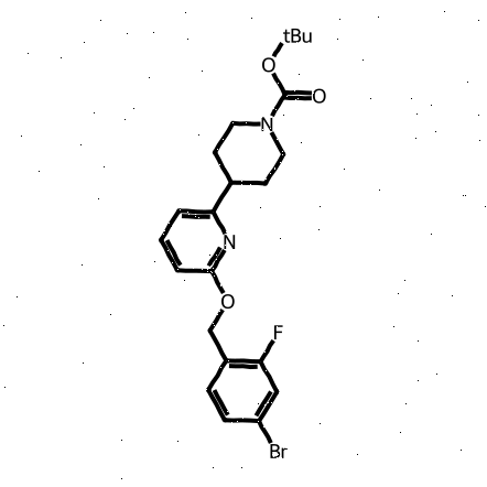 CC(C)(C)OC(=O)N1CCC(c2cccc(OCc3ccc(Br)cc3F)n2)CC1